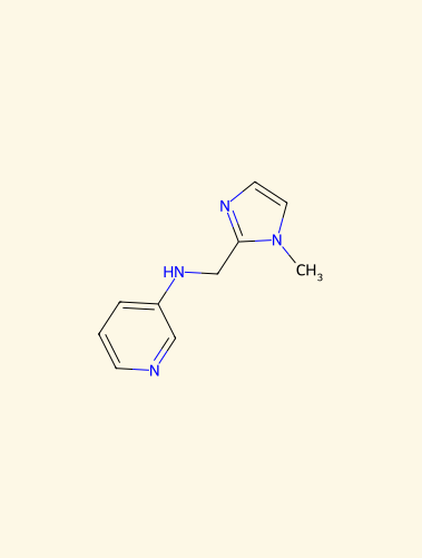 Cn1ccnc1CNc1cccnc1